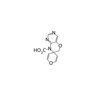 O=C(O)N1c2ncncc2OCC12C=COC=C2